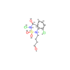 O=CCCCN1c2c(Cl)cccc2C(=O)N(Cl)S1(=O)=O